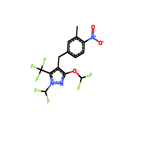 Cc1cc(Cc2c(OC(F)F)nn(C(F)F)c2C(F)(F)F)ccc1[N+](=O)[O-]